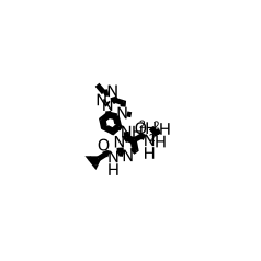 [2H]C([2H])([2H])NC(=O)c1cnc(NC(=O)C2CC2)nc1Nc1cccc2c1N(C)Cc1nc(C)nn1-2